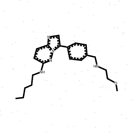 CCCCCNc1ccc2ncc(-c3ccc(CNCCOC)cc3)n2n1